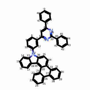 c1ccc(-c2cc(-c3cccc(-n4c5ccccc5c5c6c7ccccc7c7ccccc7c6ccc54)c3)nc(-c3ccccc3)n2)cc1